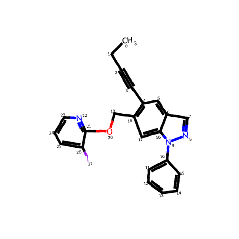 CCC#Cc1cc2cnn(-c3ccccc3)c2cc1COc1ncccc1I